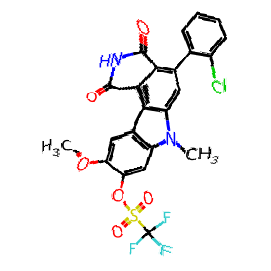 COc1cc2c3c4c(c(-c5ccccc5Cl)cc3n(C)c2cc1OS(=O)(=O)C(F)(F)F)C(=O)NC4=O